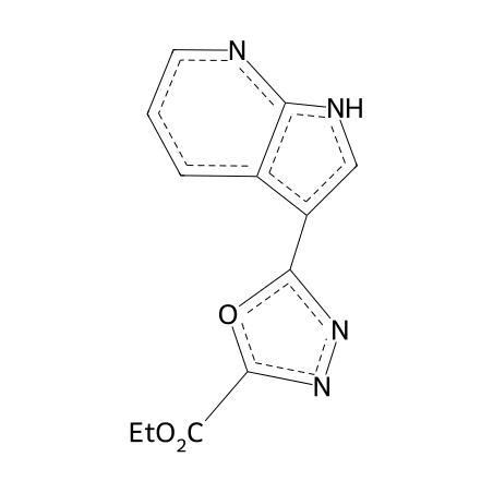 CCOC(=O)c1nnc(-c2c[nH]c3ncccc23)o1